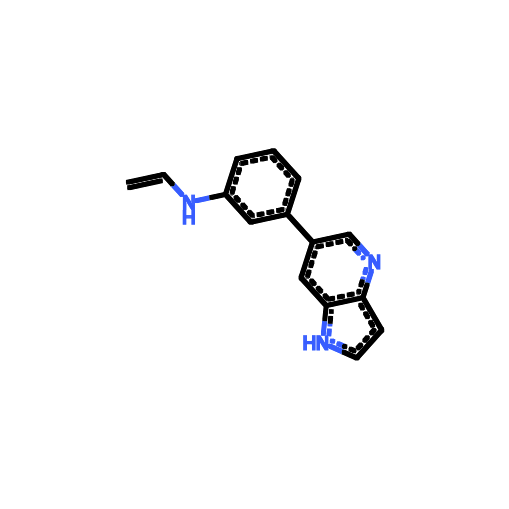 C=CNc1cccc(-c2cnc3cc[nH]c3c2)c1